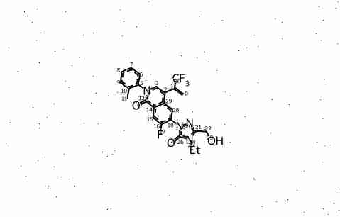 C=C(c1cn(-c2ccccc2C)c(=O)c2cc(F)c(-n3nc(CO)n(CC)c3=O)cc12)C(F)(F)F